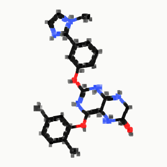 Cc1ccc(C#N)cc1OC1=C2NC(=O)CN=C2NC(Oc2cccc(-c3nccn3C)c2)=N1